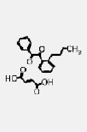 CCCCc1ccccc1C(=O)C(=O)c1ccccc1.O=C(O)C=CC(=O)O